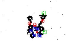 Cc1cc(OCCCc2c3n(c4c(-c5c(C)nn(C)c5C)c(Cl)ccc24)[C@H](C)CN(c2cc(OCc4ccccc4)cc4cc(C(=O)O)n(Cc5ccccn5)c24)C3=O)cc(C)c1Cl